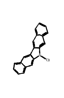 Cln1c2cc3ccccc3cc2c2cc3ccccc3cc21